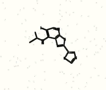 CC(C)Nc1c(I)cnc2sc(-c3cncs3)cc12